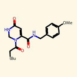 COc1ccc(CNC(=O)C2=CC(=O)NCN2C(=O)CC(C)(C)C)cc1